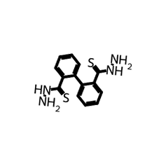 NNC(=S)c1ccccc1-c1ccccc1C(=S)NN